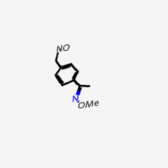 CO/N=C(\C)c1ccc(CN=O)cc1